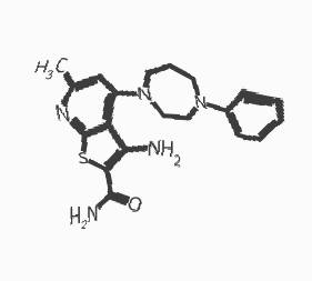 Cc1cc(N2CCCN(c3ccccc3)CC2)c2c(N)c(C(N)=O)sc2n1